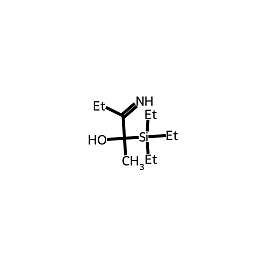 CCC(=N)C(C)(O)[Si](CC)(CC)CC